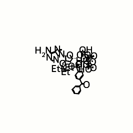 CC[N+](CC)(CC)O[C@@H]1[C@H](OC(=O)c2ccc(C(=O)c3ccccc3)cc2)[C@@H](COP(=O)(O)OP(=O)(O)OP(=O)(O)O)O[C@H]1n1cnc2c(N)ncnc21